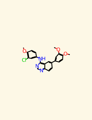 COc1ccc(Nc2ncnc3ccc(-c4ccc(OC)c(OC)c4)cc23)cc1Cl